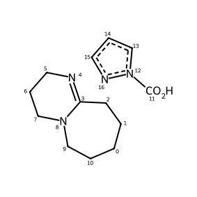 C1CCC2=NCCCN2CC1.O=C(O)n1cccn1